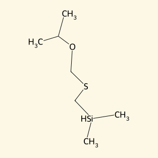 CC(C)OCSC[SiH](C)C